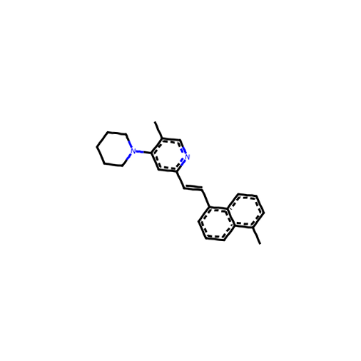 Cc1cnc(C=Cc2cccc3c(C)cccc23)cc1N1CCCCC1